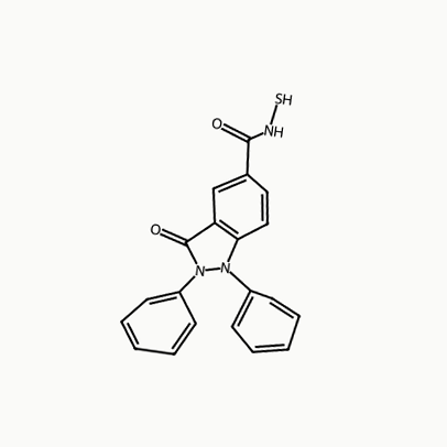 O=C(NS)c1ccc2c(c1)c(=O)n(-c1ccccc1)n2-c1ccccc1